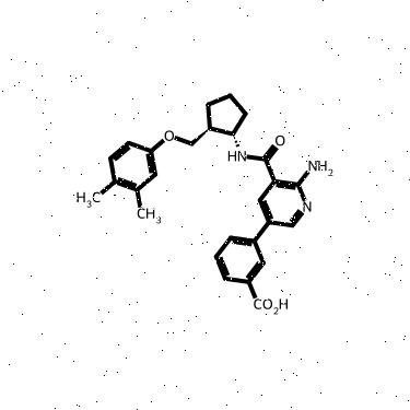 Cc1ccc(OC[C@H]2CCC[C@@H]2NC(=O)c2cc(-c3cccc(C(=O)O)c3)cnc2N)cc1C